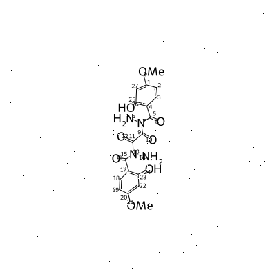 COc1ccc(C(=O)N(N)C(=O)C(=O)N(N)C(=O)c2ccc(OC)cc2O)c(O)c1